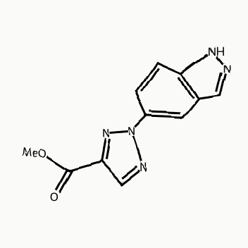 COC(=O)c1cnn(-c2ccc3[nH]ncc3c2)n1